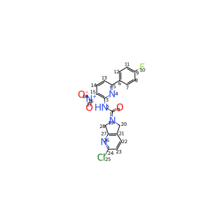 O=C(Nc1nc(-c2ccc(F)cc2)ccc1[N+](=O)[O-])N1Cc2ccc(Cl)nc2C1